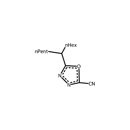 CCCCCCC(CCCCC)c1nnc(C#N)o1